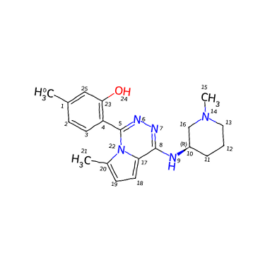 Cc1ccc(-c2nnc(N[C@@H]3CCCN(C)C3)c3ccc(C)n23)c(O)c1